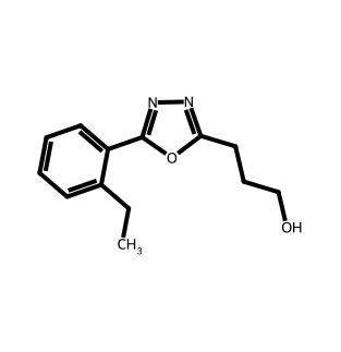 CCc1ccccc1-c1nnc(CCCO)o1